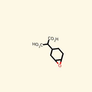 O=C(O)C(C(=O)O)C1CCC2OC2C1